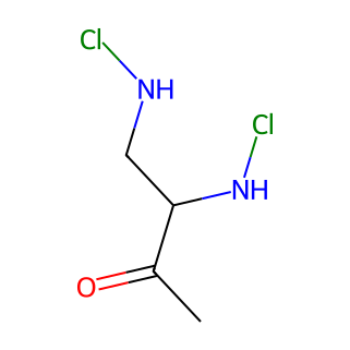 CC(=O)C(CNCl)NCl